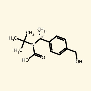 C[C@H](c1ccc(CO)cc1)N(C(=O)O)C(C)(C)C